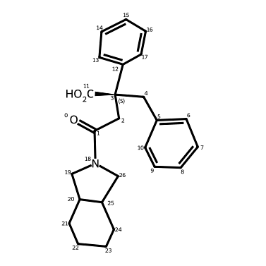 O=C(C[C@](Cc1ccccc1)(C(=O)O)c1ccccc1)N1CC2CCCCC2C1